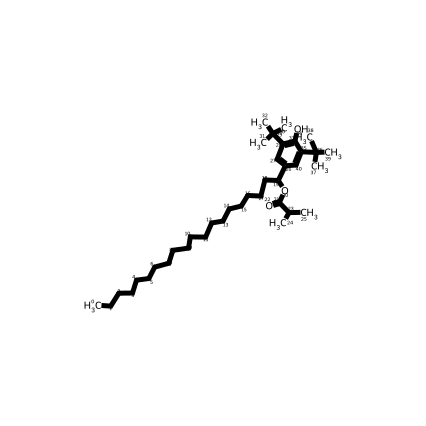 CCCCCCCCCCCCCCCCCCCC(OC(=O)C(C)C)c1cc(C(C)(C)C)c(O)c(C(C)(C)C)c1